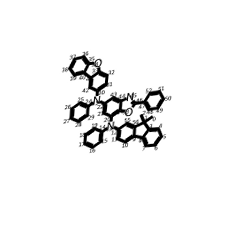 CC1(C)c2ccccc2-c2ccc(N(c3ccccc3)c3cc(N(c4ccccc4)c4ccc5oc6ccccc6c5c4)cc4nc(-c5ccccc5)oc34)cc21